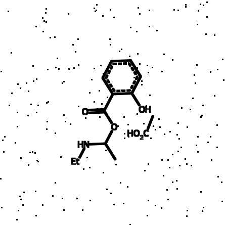 CC(=O)O.CCNC(C)OC(=O)c1ccccc1O